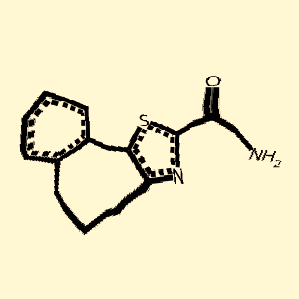 NC(=O)c1nc2c(s1)-c1ccccc1CCC2